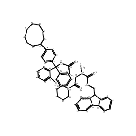 CN(C(=O)OCC1c2ccccc2-c2ccccc21)[C@@H](CC(=O)OC(c1ccccc1)(c1ccc(C2CCCCCCCC2)cc1)c1ccccc1Cl)C(=O)N1CCCCC1